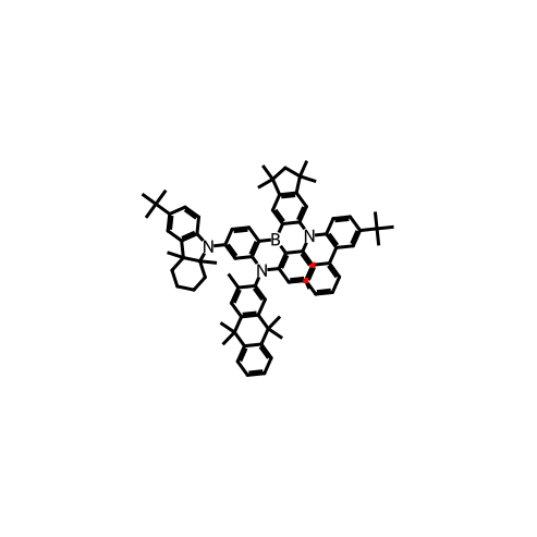 Cc1cc2c3c(c1)N(c1ccc(C(C)(C)C)cc1-c1ccccc1)c1cc4c(cc1B3c1ccc(N3c5ccc(C(C)(C)C)cc5C5(C)CCCCC35C)cc1N2c1cc2c(cc1C)C(C)(C)c1ccccc1C2(C)C)C(C)(C)CC4(C)C